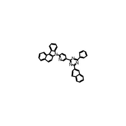 c1ccc(-c2nc(-c3ccc(-n4c5ccccc5c5c6ccccc6ccc54)nc3)nc(-c3ccc4ccccc4c3)n2)cc1